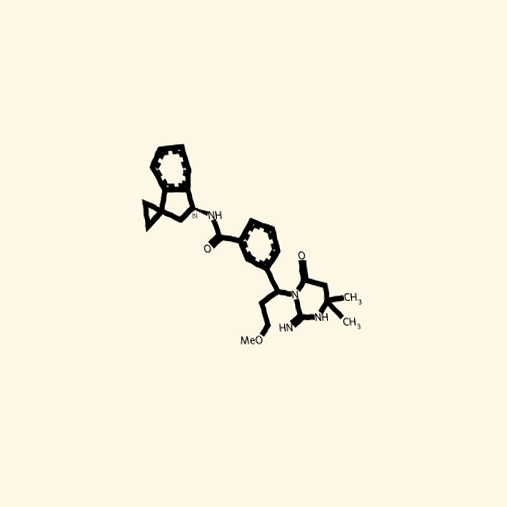 COCCC(c1cccc(C(=O)N[C@H]2CC3(CC3)c3ccccc32)c1)N1C(=N)NC(C)(C)CC1=O